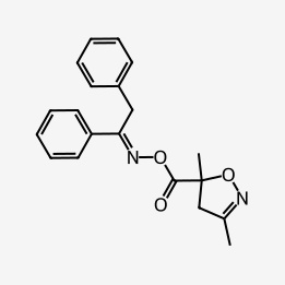 CC1=NOC(C)(C(=O)O/N=C(\Cc2ccccc2)c2ccccc2)C1